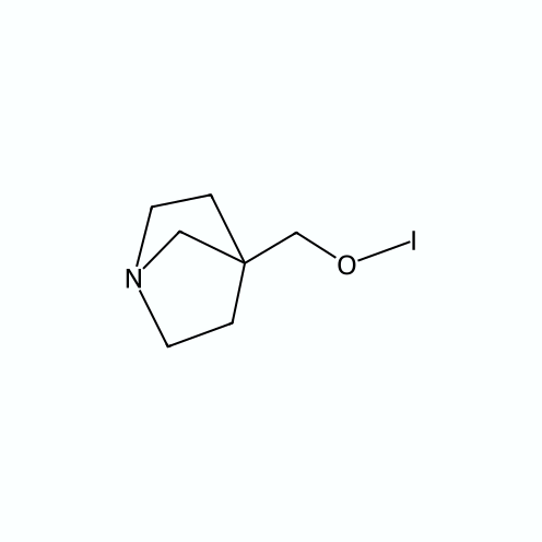 IOCC12CCN(CC1)C2